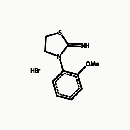 Br.COc1ccccc1N1CCSC1=N